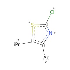 CC(=O)c1nc(Cl)sc1C(C)C